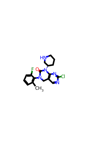 Cc1cccc(F)c1N1Cc2cnc(Cl)nc2N([C@H]2CCCNC2)C1=O